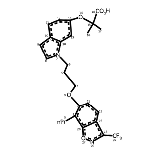 CCCc1c(OCCCn2ccc3ccc(OC(C)(C)C(=O)O)cc32)ccc2c(C(F)(F)F)noc12